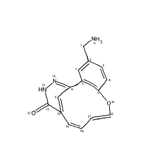 NCc1ccc2c(c1)-c1cc(c(=O)[nH]n1)/C=C\C=C\O2